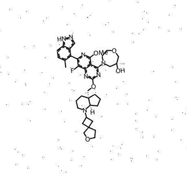 COc1nc(-c2c(C)ccc3[nH]ncc23)c(F)c2nc(OC[C@]34CCC[C@H]3N(C3CC5(CCOC5)C3)CCC4)nc(N3CCOC[C@@](C)(O)C3)c12